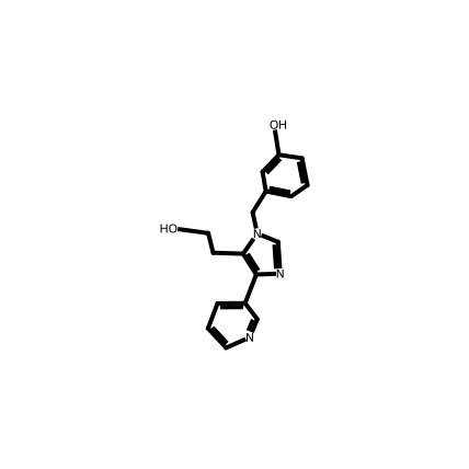 OCCc1c(-c2cccnc2)ncn1Cc1cccc(O)c1